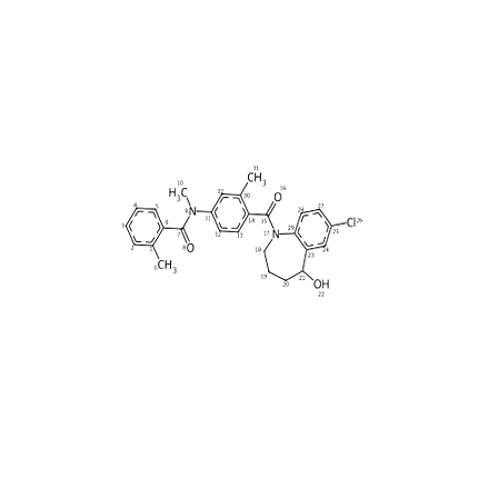 Cc1ccccc1C(=O)N(C)c1ccc(C(=O)N2CCCC(O)c3cc(Cl)ccc32)c(C)c1